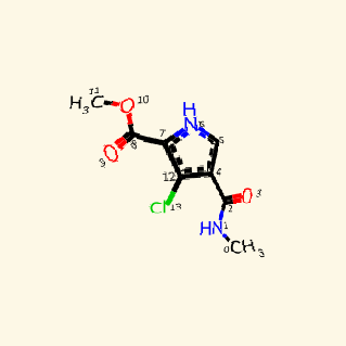 CNC(=O)c1c[nH]c(C(=O)OC)c1Cl